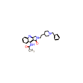 CC(=O)Nc1c2c(nc3ccccc13)CN(CCC1CCN(Cc3ccccc3)CC1)C2=O